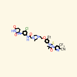 CCc1cc(N2C(=S)N(c3cnc(C#N)c(C(F)(F)F)c3)C(=O)C2(C)C)ccc1OCCN1CCN(CC(=O)Nc2cc(Cl)cc(NC3CCC(=O)NC3=O)c2)C(C)C1